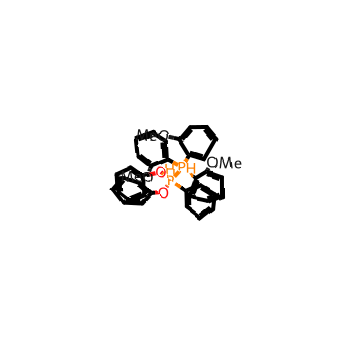 COc1ccccc1[PH](c1ccccc1OC)(c1ccccc1OC)[PH](Oc1ccccc1)(Oc1ccccc1)c1ccccc1